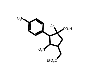 CCOC(=O)CC1CC(C(C)=O)(C(=O)O)C(c2ccc([N+](=O)[O-])cc2)C1[N+](=O)[O-]